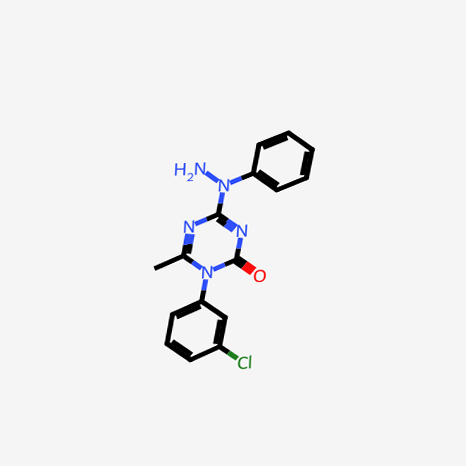 Cc1nc(N(N)c2ccccc2)nc(=O)n1-c1cccc(Cl)c1